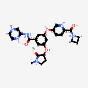 CN1CCC(Oc2cc(Oc3ccc(C(=O)N4CCC4)nc3)cc(C(=O)Nc3cnccn3)c2)C1=O